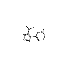 CN1CCC=C(c2nsnc2N(C)C)C1